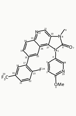 COc1ccc(-n2c(=O)n(C)c3cnc4ccc(-c5cc(C(F)(F)F)ccc5F)cc4c32)cn1